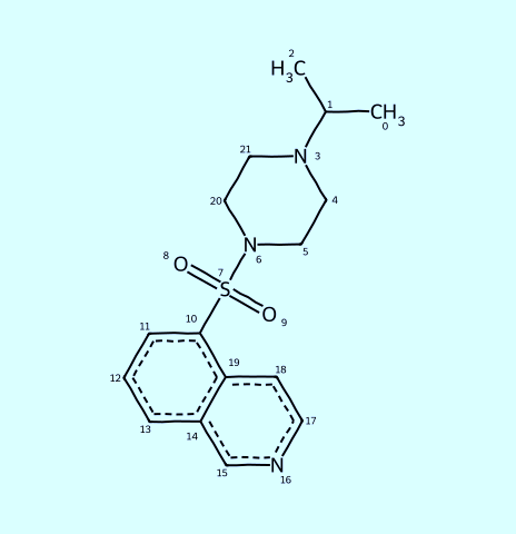 CC(C)N1CCN(S(=O)(=O)c2cccc3cnccc23)CC1